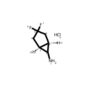 Cl.NC1[C@H]2CC(F)(F)C[C@@H]12